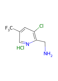 Cl.NCc1ncc(C(F)(F)F)cc1Cl